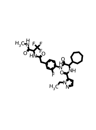 CCn1nccc1C(=O)NC(C(=O)Nc1ccc(CC(=O)NC(C(=O)NC)C(F)(F)F)cc1F)C1CCCCCC1